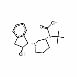 CC(C)(C)N(C(=O)O)[C@@H]1CCCN([C@H]2c3ccccc3C[C@@H]2O)C1